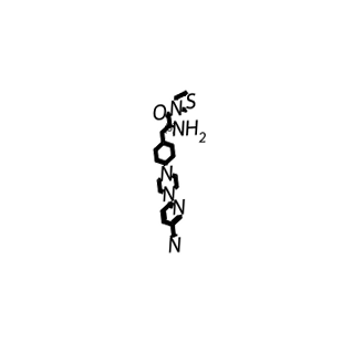 N#Cc1ccc(N2CCN(C3CCC(C[C@H](N)C(=O)N4CCSC4)CC3)CC2)nc1